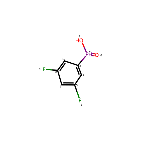 O=[PH](O)c1cc(F)cc(F)c1